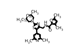 Cc1cc(-c2sc(N3C[C@@H](C)O[C@@H](C)C3)nc2CNC(=O)c2oc(C)cc2C)cc(C)n1